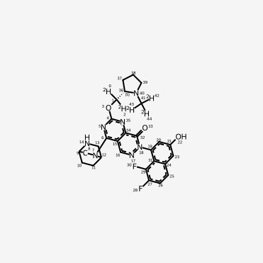 [2H]C([2H])(Oc1nc(N2CC3CCC2CN3)c2cnn(-c3cc(O)cc4ccc(F)c(F)c34)c(=O)c2n1)[C@@H]1CCCN1C([2H])([2H])[2H]